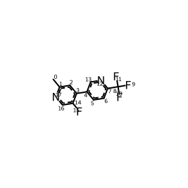 Cc1cc(-c2ccc(C(F)(F)F)nc2)c(F)cn1